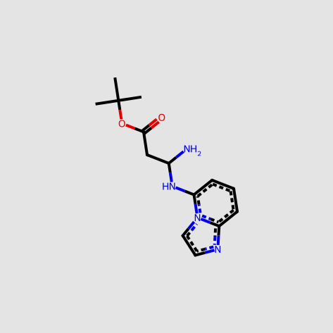 CC(C)(C)OC(=O)CC(N)Nc1cccc2nccn12